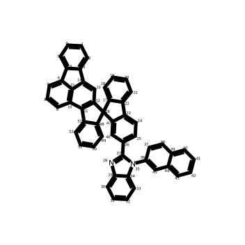 c1ccc2c(c1)-c1cccc3c4c(cc-2c13)C1(c2ccccc2-c2ccc(-c3nc5ccccc5n3-c3ccc5ccccc5c3)cc21)c1ccccc1-4